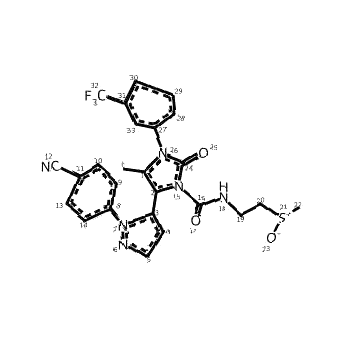 Cc1c(-c2ccnn2-c2ccc(C#N)cc2)n(C(=O)NCC[S+](C)[O-])c(=O)n1-c1cccc(C(F)(F)F)c1